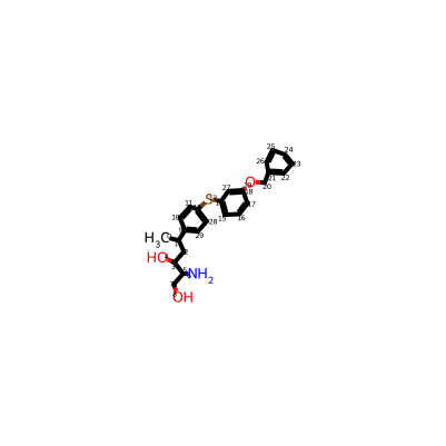 CC(CC(O)C(N)CO)c1ccc(Sc2cccc(OCc3ccccc3)c2)cc1